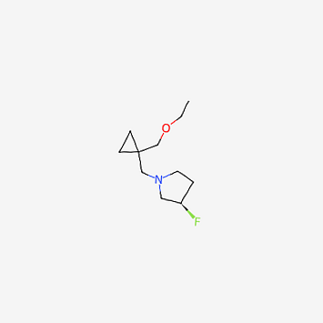 CCOCC1(CN2CC[C@@H](F)C2)CC1